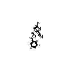 N#Cc1nc(I)cn1COCc1ccccc1